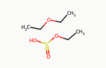 CCOCC.CCOS(=O)O